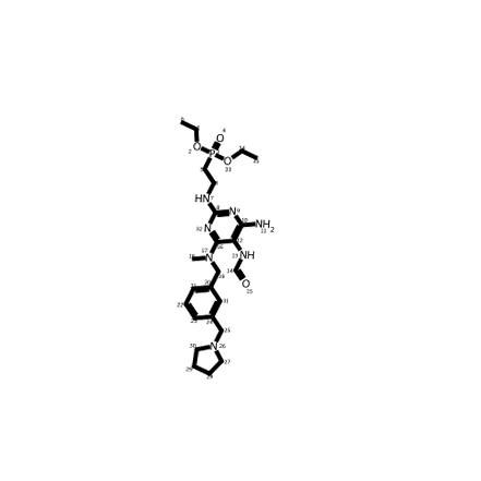 CCOP(=O)(CCNc1nc(N)c(NC=O)c(N(C)Cc2cccc(CN3CCCC3)c2)n1)OCC